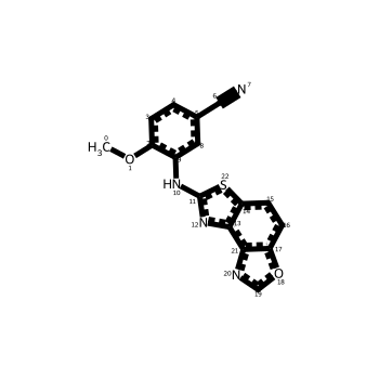 COc1ccc(C#N)cc1Nc1nc2c(ccc3ocnc32)s1